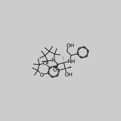 CC1(C)Oc2ccc([C@@](C)(O)[C@](C)(NC(CO)c3ccccc3)C(=O)N3C(C)(C)C(C)(C)C(C)(C)C3(C)C)cc2OC1(C)C